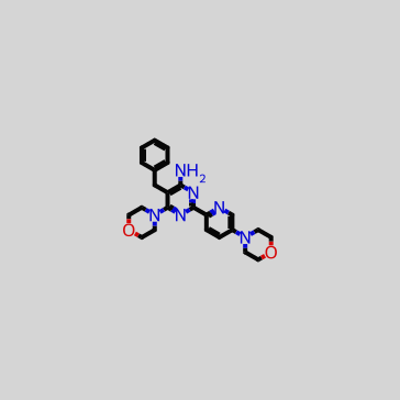 Nc1nc(-c2ccc(N3CCOCC3)cn2)nc(N2CCOCC2)c1Cc1ccccc1